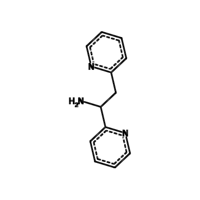 NC(Cc1ccccn1)c1ccccn1